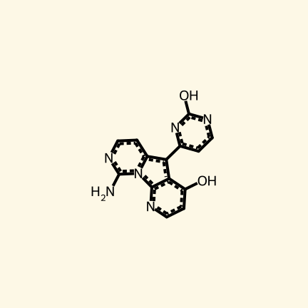 Nc1nccc2c(-c3ccnc(O)n3)c3c(O)ccnc3n12